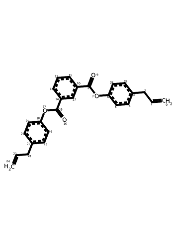 C=CCc1ccc(OC(=O)c2cccc(C(=O)Oc3ccc(CC=C)cc3)c2)cc1